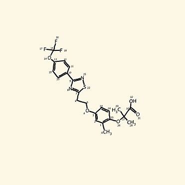 Cc1cc(OCCc2nc(-c3ccc(OC(F)(F)F)cc3)ns2)ccc1OC(C)(C)C(=O)O